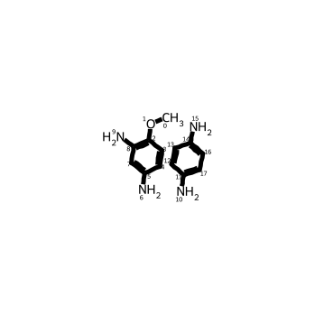 COc1ccc(N)cc1N.Nc1ccc(N)cc1